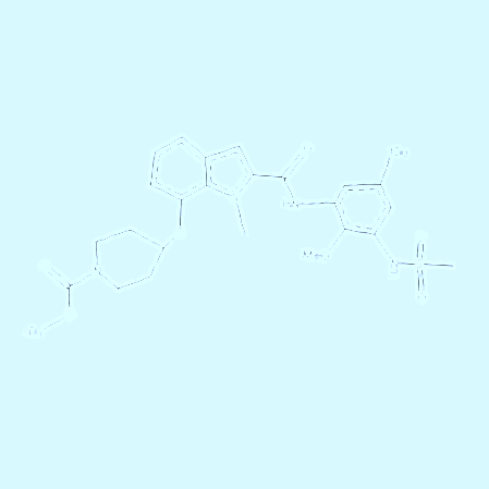 COc1c(NC(=O)c2cc3cccc(OC4CCN(C(=O)OC(C)(C)C)CC4)c3n2C)cc(C(C)(C)C)cc1NS(C)(=O)=O